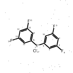 Fc1cc(F)cc([I+]c2cc(F)cc(F)c2)c1.[Cl-]